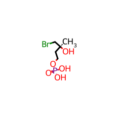 C[C@@](O)(CBr)CCOP(=O)(O)O